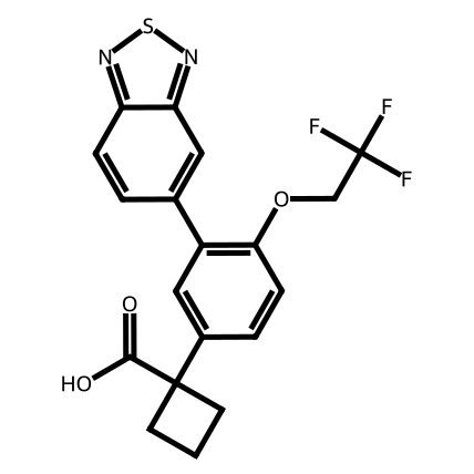 O=C(O)C1(c2ccc(OCC(F)(F)F)c(-c3ccc4nsnc4c3)c2)CCC1